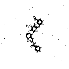 Cc1c(F)c(OC2=C(CCNC(=O)c3ccccc3)N(C)CC=C2)nc(Oc2cccc(C#N)c2)c1F